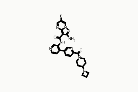 Nc1nn2cc(F)cnc2c1C(=O)Nc1cnccc1-c1ccc(C(=O)N2CCC(N3CCC3)CC2)nc1